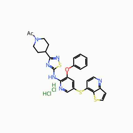 CC(=O)N1CCC(c2nsc(Nc3ncc(Sc4ccnc5ccsc45)cc3Oc3ccccc3)n2)CC1.Cl.Cl